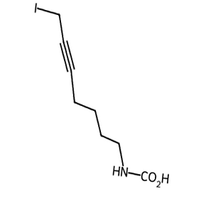 O=C(O)NCCCCC#CCI